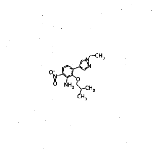 CCn1cc(-c2ccc([N+](=O)[O-])c(N)c2OCC(C)C)cn1